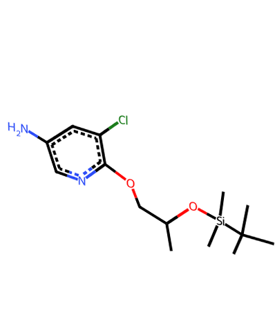 CC(COc1ncc(N)cc1Cl)O[Si](C)(C)C(C)(C)C